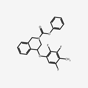 Cc1c(F)cc(OC2CN(C(=O)Oc3ccccc3)Cc3ccccc32)c(F)c1F